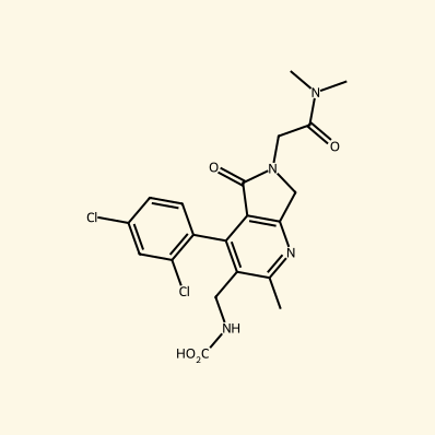 Cc1nc2c(c(-c3ccc(Cl)cc3Cl)c1CNC(=O)O)C(=O)N(CC(=O)N(C)C)C2